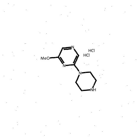 COc1cncc(N2CCNCC2)n1.Cl.Cl